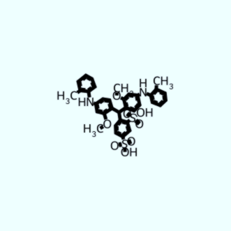 COc1cc(Nc2ccccc2C)ccc1C(c1ccc(Nc2ccccc2C)cc1OC)c1ccc(S(=O)(=O)O)cc1S(=O)(=O)O